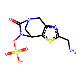 NCc1nc2c(s1)C1CN(C2)C(=O)N1OS(=O)(=O)O